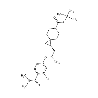 C[C@@H](C[C@H]1CC12CCN(C(=O)OC(C)(C)C)CC2)Oc1ccc(C(=O)N(C)C)c(Cl)c1